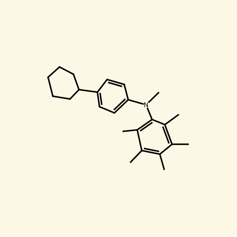 Cc1c(C)c(C)c(N(C)c2ccc(C3CCCCC3)cc2)c(C)c1C